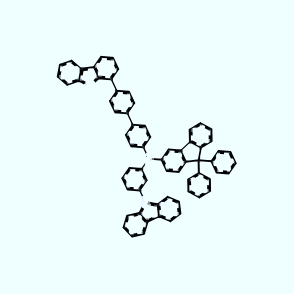 c1ccc(C2(c3ccccc3)c3ccccc3-c3cc(N(c4ccc(-c5ccc(-c6cccc7c6oc6ccccc67)cc5)cc4)c4cccc(-n5c6ccccc6c6ccccc65)c4)ccc32)cc1